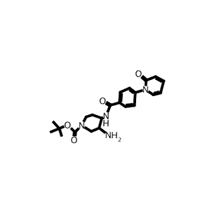 CC(C)(C)OC(=O)N1CCC(NC(=O)c2ccc(-n3ccccc3=O)cc2)C(N)C1